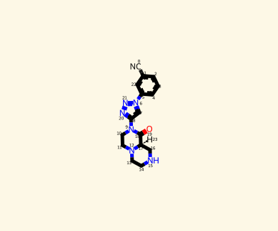 N#Cc1cccc(-n2cc(N3CCN4CCNC[C@@H]4C3=O)nn2)c1